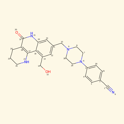 N#Cc1ccc(N2CCN(Cc3cc(CO)c4c5c(c(=O)[nH]c4c3)CCCN5)CC2)cc1